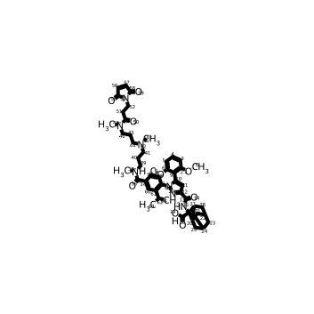 COc1cccc(OC)c1-c1cc(C(=O)NC2(C(=O)O)C3CC4CC(C3)CC2C4)nn1-c1ccc(C(=O)N(C)CCCN(C)CCCN(C)C(=O)CCN2C(=O)C=CC2=O)cc1C(C)C